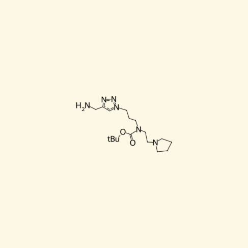 CC(C)(C)OC(=O)N(CCCn1cc(CN)nn1)CCN1CCCC1